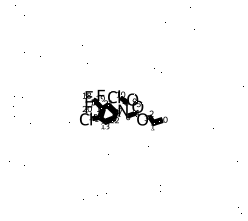 C=CCOC(=O)CN(C(=O)Cl)c1ccc(Cl)c(C(F)(F)F)c1